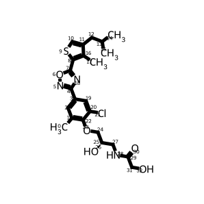 Cc1cc(-c2noc(-c3scc(CC(C)C)c3C)n2)cc(Cl)c1OC[C@@H](O)CNC(=O)CO